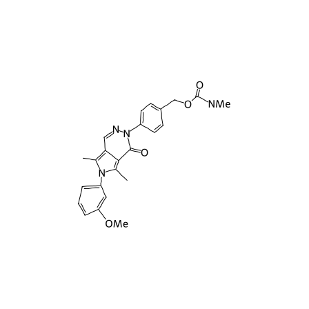 CNC(=O)OCc1ccc(-n2ncc3c(C)n(-c4cccc(OC)c4)c(C)c3c2=O)cc1